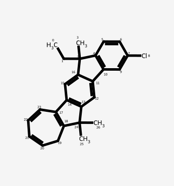 CCC1(C)c2ccc(Cl)cc2-c2cc3c(cc21)C1=C(CC=CC=C1)C3(C)C